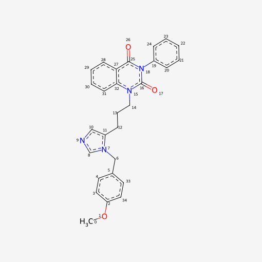 COc1ccc(Cn2cncc2CCCn2c(=O)n(-c3ccccc3)c(=O)c3ccccc32)cc1